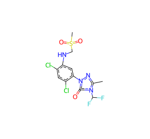 Cc1nn(-c2cc(NCS(C)(=O)=O)c(Cl)cc2Cl)c(=O)n1C(F)F